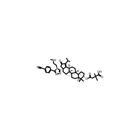 CNCCn1c(-c2ccc(C#N)cc2)nnc1[C@@]12CC[C@]3(C)[C@H](CC[C@@H]4[C@@]5(C)CC[C@H](OC(=O)CC(C)(C)C(=O)O)C(C)(C)[C@@H]5CC[C@]43C)C1=C(C(C)C)C(=O)C2